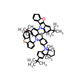 CC(C)(C)c1cc2c3c(c1)-n1c4c(cc(C(C)(C)C)cc4c4oc5ccccc5c41)B3c1ccc(N3c4ccc(C(C)(C)C)cc4C4(C)CCCCC34C)cc1N2c1cccc2sc3ccccc3c12